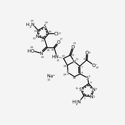 Nc1nnc(SC2=C(C(=O)[O-])N3C(=O)[C@@H](NC(=O)C(=NO)c4nc(N)sc4Cl)C3SC2)s1.[Na+]